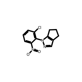 O=[N+]([O-])c1cccc(Cl)c1-n1ncc2c1CCC2